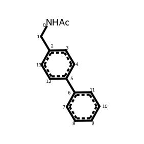 CC(=O)NCc1ccc(-c2ccccc2)cc1